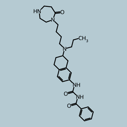 CCCN(CCCCN1CCNCCC1=O)C1CCc2ccc(NC(=O)NC(=O)c3ccccc3)cc2C1